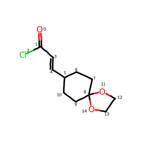 O=C(Cl)C=CC1CCC2(CC1)OCCO2